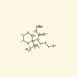 CCCCOC(=O)C(CCCF)C1([SiH2]C)CCCCO1